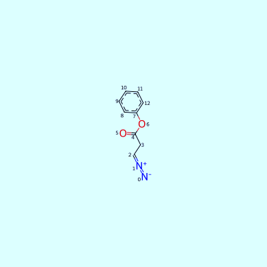 [N-]=[N+]=CCC(=O)Oc1ccccc1